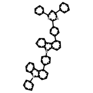 c1ccc(-c2cc(-c3ccccc3)nc(-c3ccc(-c4cccc5c4c4ccccc4n5-c4ccc(-c5cccc6c5c5ccccc5n6-c5ccccc5)cc4)cc3)n2)cc1